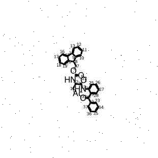 CC(=O)CC(NC(=O)OCC1c2ccccc2-c2ccccc21)C(=O)Nc1ccccc1C(=O)c1ccccc1